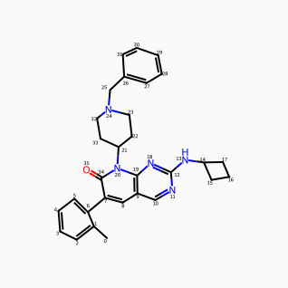 Cc1ccccc1-c1cc2cnc(NC3CCC3)nc2n(C2CCN(Cc3ccccc3)CC2)c1=O